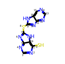 Sc1ncnc2nc(Sc3nc4ncncc4[nH]3)[nH]c12